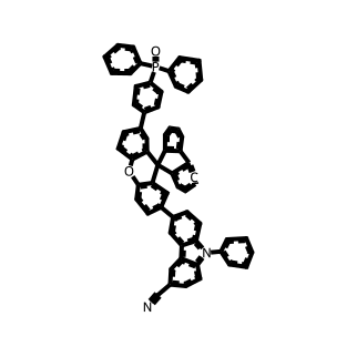 N#Cc1ccc2c(c1)c1cc(-c3ccc4c(c3)C3(c5cc(-c6ccc(P(=O)(c7ccccc7)c7ccccc7)cc6)ccc5O4)c4ccccc4-c4ccccc43)ccc1n2-c1ccccc1